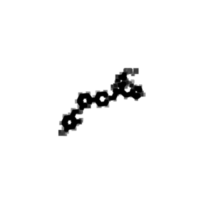 CCn1cncc1Cc1c(CN2CCC(c3cccc(OCc4ccc(C#N)cc4F)n3)CC2)nn2nc(C(=O)O)sc12